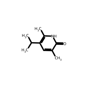 Cc1[nH]c(=O)c(C)cc1C(C)C